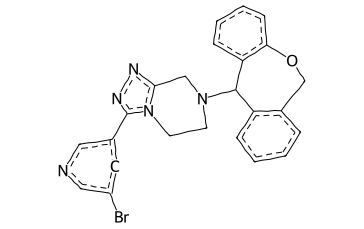 Brc1cncc(-c2nnc3n2CCN(C2c4ccccc4COc4ccccc42)C3)c1